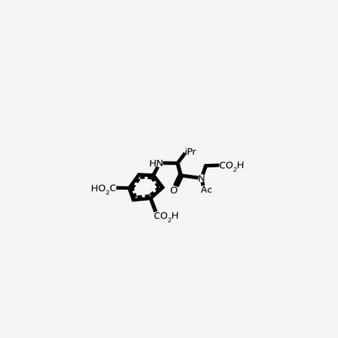 CC(=O)N(CC(=O)O)C(=O)C(Nc1cc(C(=O)O)cc(C(=O)O)c1)C(C)C